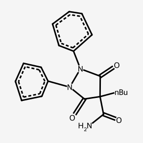 CCCCC1(C(N)=O)C(=O)N(c2ccccc2)N(c2ccccc2)C1=O